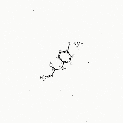 C=CC(=O)Nc1ccc(CNC)nc1